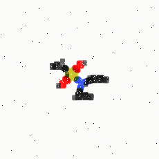 CCCCS(=O)(=O)N(NC)NC